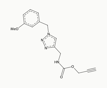 C#CCOC(=O)NCc1cn(Cc2cccc(OC)c2)nn1